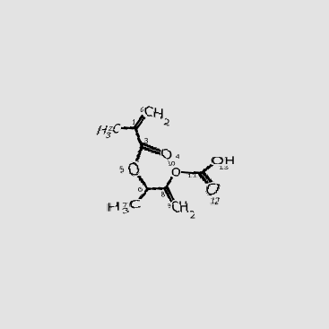 C=C(C)C(=O)OC(C)C(=C)OC(=O)O